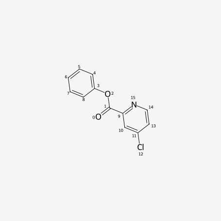 O=C(Oc1ccccc1)c1cc(Cl)ccn1